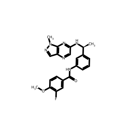 COc1ccc(C(=O)Nc2cccc([C@H](C)Nc3cnc4cnn(C)c4n3)c2)cc1F